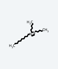 CCCCCCCCCCN1C=CN(CCCCC)C1CCCCC